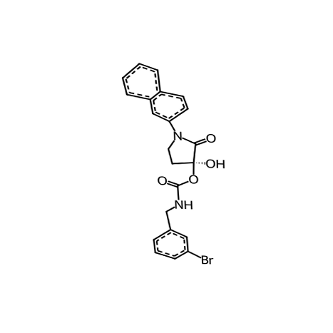 O=C(NCc1cccc(Br)c1)O[C@@]1(O)CCN(c2ccc3ccccc3c2)C1=O